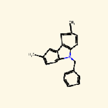 Cc1ccc2c(c1)c1cc(C)ccc1n2Cc1ccccc1